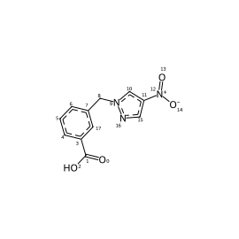 O=C(O)c1cccc(Cn2cc([N+](=O)[O-])cn2)c1